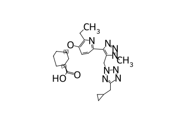 CCc1nc(-c2nnn(C)c2Cn2nnc(CC3CC3)n2)ccc1O[C@H]1CCC[C@H](C(=O)O)C1